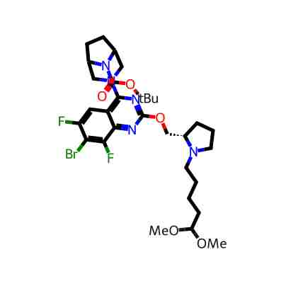 COC(CCCCN1CCC[C@H]1COc1nc(N2CC3CCC(C2)N3C(=O)OC(C)(C)C)c2cc(F)c(Br)c(F)c2n1)OC